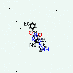 CCc1cccc(C(=O)Cn2cnc3c(C#N)c(N4CCNCC4)n(CC)c3c2=O)c1